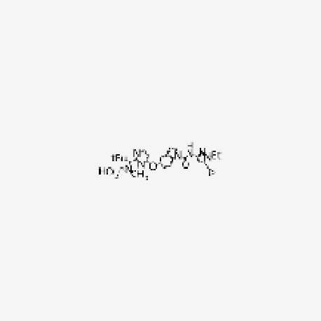 CCn1nc(NC(=O)n2ccc3cc(Oc4ccnc(C(N(C)C(=O)O)C(C)(C)C)n4)ccc32)cc1C1CC1